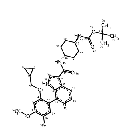 COc1cc(OCC2CC2)c(-c2ncnc3c(C(=O)N[C@H]4CC[C@H](NC(=O)OC(C)(C)C)CC4)c[nH]c23)cc1F